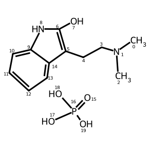 CN(C)CCc1c(O)[nH]c2ccccc12.O=P(O)(O)O